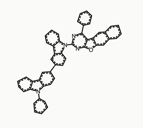 c1ccc(-c2nc(-n3c4ccccc4c4cc(-c5ccc6c(c5)c5ccccc5n6-c5ccccc5)ccc43)nc3oc4cc5ccccc5cc4c23)cc1